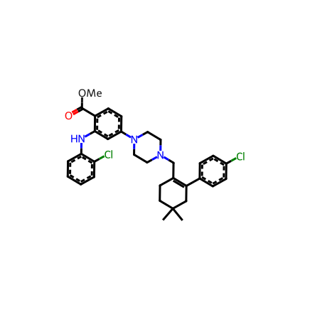 COC(=O)c1ccc(N2CCN(CC3=C(c4ccc(Cl)cc4)CC(C)(C)CC3)CC2)cc1Nc1ccccc1Cl